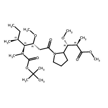 CC[C@H](C)[C@@H]([C@@H](CC(=O)N1CCCC1[C@H](OC)[C@@H](C)C(=O)OC)OC)N(C)C(=O)OC(C)(C)C